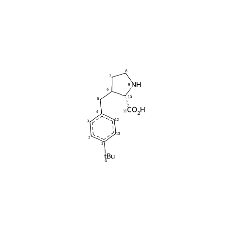 CC(C)(C)c1ccc(CC2CCN[C@@H]2C(=O)O)cc1